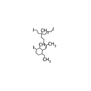 CCC1CCC(I)C(C)C1CC(C)CCC[C@](C)(CCI)CCCI